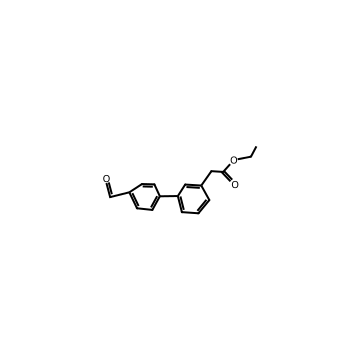 CCOC(=O)Cc1cccc(-c2ccc(C=O)cc2)c1